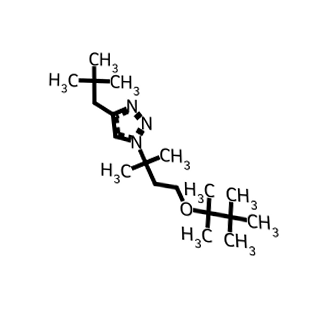 CC(C)(C)Cc1cn(C(C)(C)CCOC(C)(C)C(C)(C)C)nn1